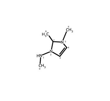 CNN1C=CN(C)C1C